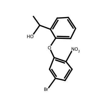 CC(O)c1ccccc1Oc1cc(Br)ccc1[N+](=O)[O-]